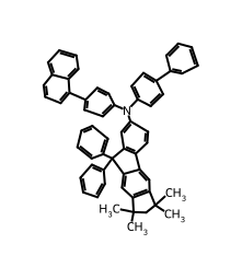 CC1(C)CC(C)(C)c2cc3c(cc21)-c1ccc(N(c2ccc(-c4ccccc4)cc2)c2ccc(-c4cccc5ccccc45)cc2)cc1C3(c1ccccc1)c1ccccc1